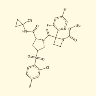 CC(C)(C)OC(=O)N1CCC1(C(=O)N1CC(S(=O)(=O)c2ccc(F)cc2Cl)CC1C(=O)NC1(C#N)CC1)c1ncc(Br)cc1F